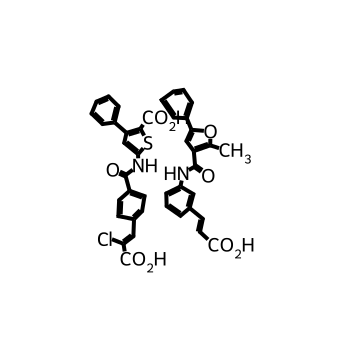 Cc1oc(-c2ccccc2)cc1C(=O)Nc1cccc(C=CC(=O)O)c1.O=C(O)C(Cl)=Cc1ccc(C(=O)Nc2cc(-c3ccccc3)c(C(=O)O)s2)cc1